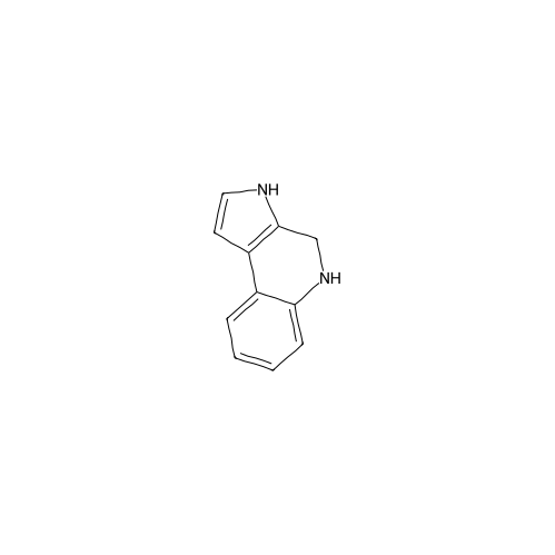 c1ccc2c(c1)NCc1[nH]ccc1-2